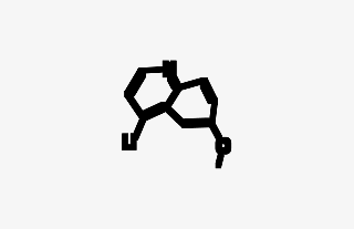 [Li][c]1ccnc2ccc(OC)cc12